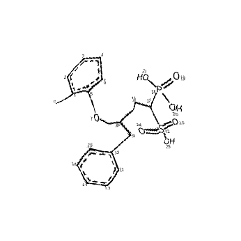 Cc1ccccc1OC(Cc1ccccc1)CC(P(=O)(O)O)S(=O)(=O)O